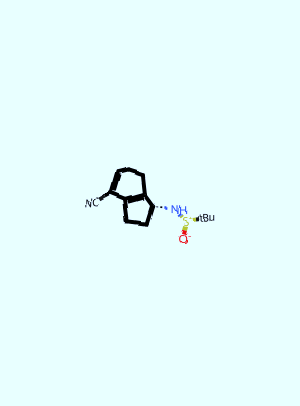 CC(C)(C)[S+]([O-])N[C@@H]1CCC2=C1CCC=C2C#N